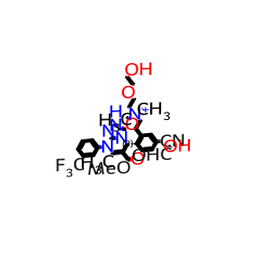 COC(=O)C1=C(C)N(c2cccc(C(F)(F)F)c2)c2n[nH]c(=O)n2[C@@H]1c1ccc(C#N)cc1CC[N+](C)(C)CCOCCO.O=CO